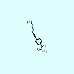 O=C(Nc1ccc(C#CCCCCO)cc1)C(F)(F)F